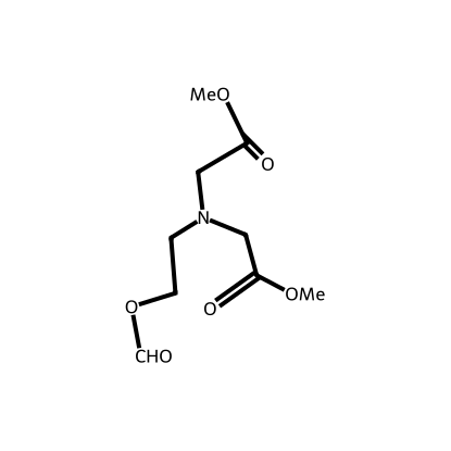 COC(=O)CN(CCOC=O)CC(=O)OC